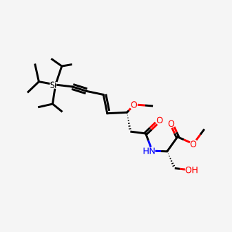 COC(=O)[C@H](CO)NC(=O)C[C@H](/C=C/C#C[Si](C(C)C)(C(C)C)C(C)C)OC